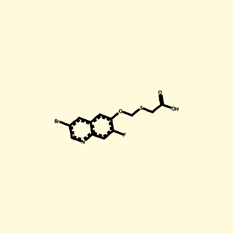 O=C(O)CSCOc1cc2cc(Br)cnc2cc1F